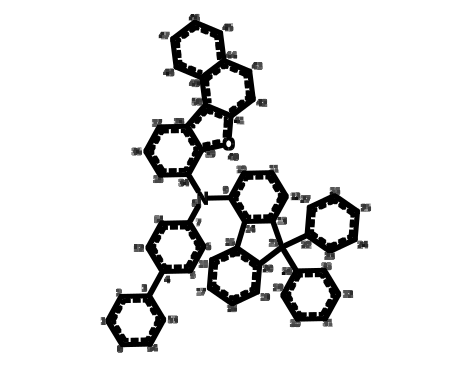 c1ccc(-c2ccc(N(c3cccc4c3-c3ccccc3C4(c3ccccc3)c3ccccc3)c3cccc4c3oc3ccc5ccccc5c34)cc2)cc1